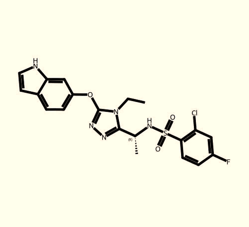 CCn1c(Oc2ccc3cc[nH]c3c2)nnc1[C@@H](C)NS(=O)(=O)c1ccc(F)cc1Cl